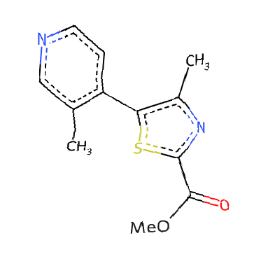 COC(=O)c1nc(C)c(-c2ccncc2C)s1